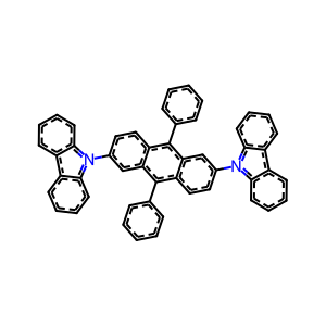 c1ccc(-c2c3ccc(-n4c5ccccc5c5ccccc54)cc3c(-c3ccccc3)c3ccc(-n4c5ccccc5c5ccccc54)cc23)cc1